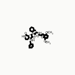 COc1ccc(OC)c2oc(C(=O)N[C@@H](CC3CCCCC3)C(=O)N[C@@H](C[C@@H]3CCCNC3=O)C(=O)C(=O)NCc3ccccc3)cc12